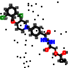 CC(=O)OCC(=O)NNC(=O)c1ccc(N2CCC(Oc3c(Cl)cccc3Cl)CC2)cc1